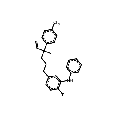 C=CC(C)(CCCc1ccc(F)c(Nc2ccccc2)c1)c1ccc(C(F)(F)F)cc1